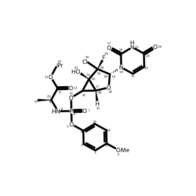 COc1ccc(OP(=O)(N[C@@H](C)C(=O)OC(C)C)OC2[C@H]3O[C@@H](n4ccc(=O)[nH]c4=O)[C@@](F)(Cl)[C@@]23O)cc1